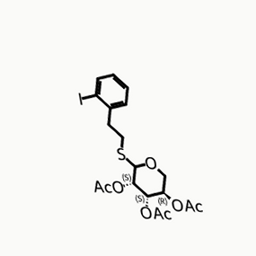 CC(=O)O[C@@H]1[C@H](OC(C)=O)C(SCCc2ccccc2I)OC[C@H]1OC(C)=O